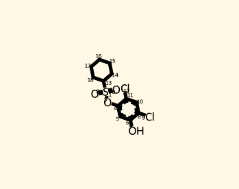 O=S(=O)(Oc1cc(O)c(Cl)cc1Cl)C1CCCCC1